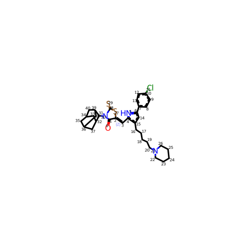 O=C1/C(=C/c2[nH]c(-c3ccc(Cl)cc3)cc2CCCCCN2CCCCC2)SC(=S)N1C1C2CC3CC(C2)CC1C3